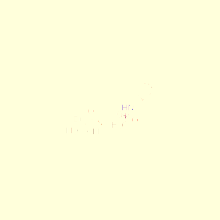 CCC(C)(C)C(=O)SCCO[P@](C)(=O)NCc1ccccc1